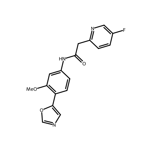 COc1cc(NC(=O)Cc2ccc(F)cn2)ccc1-c1cnco1